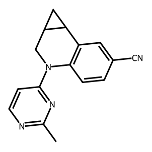 Cc1nccc(N2CC3CC3c3cc(C#N)ccc32)n1